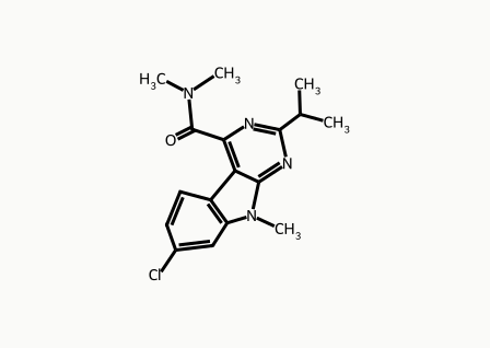 CC(C)c1nc(C(=O)N(C)C)c2c3ccc(Cl)cc3n(C)c2n1